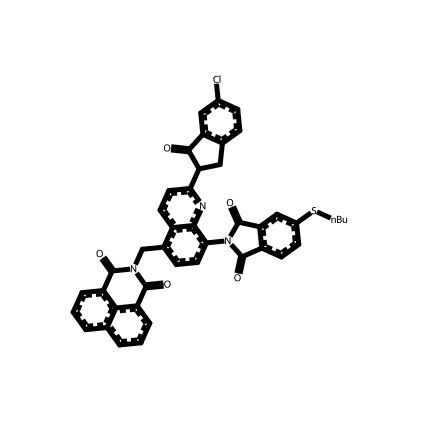 CCCCSc1ccc2c(c1)C(=O)N(c1ccc(CN3C(=O)c4cccc5cccc(c45)C3=O)c3ccc(C4Cc5ccc(Cl)cc5C4=O)nc13)C2=O